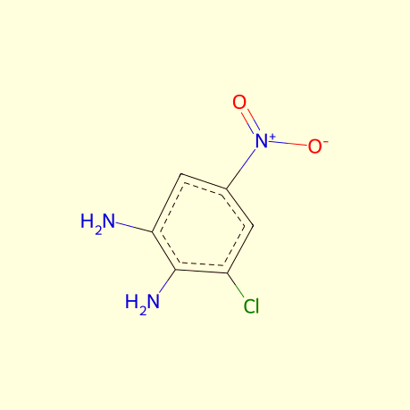 Nc1cc([N+](=O)[O-])cc(Cl)c1N